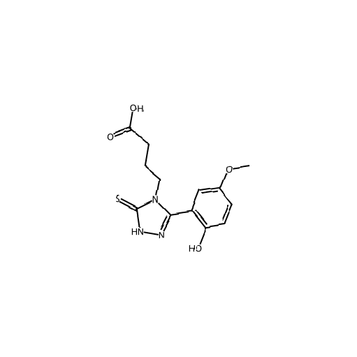 COc1ccc(O)c(-c2n[nH]c(=S)n2CCCC(=O)O)c1